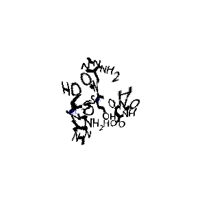 C/C(=C(\CCO)SS/C(CCO)=C(/C)N(C=O)Cc1cnc(C)nc1N)N(C=O)Cc1cnc(C)nc1N.O=C(O)c1cc(=O)[nH]c(=O)[nH]1